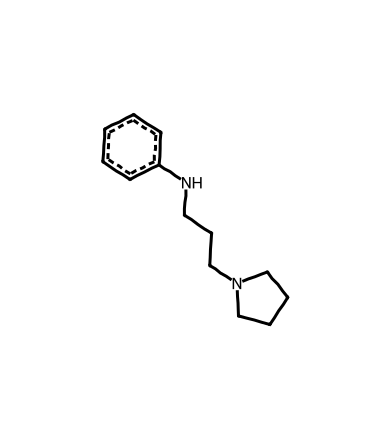 c1ccc(NCCCN2CCCC2)cc1